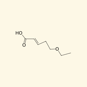 CCOCC/C=C/C(=O)O